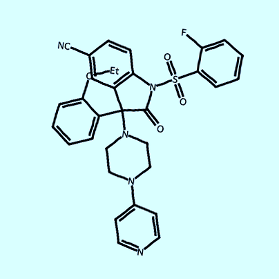 CCOc1ccccc1C1(N2CCN(c3ccncc3)CC2)C(=O)N(S(=O)(=O)c2ccccc2F)c2ccc(C#N)cc21